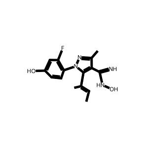 C/C=C(\C)c1c(C(=N)NO)c(C)nn1-c1ccc(O)cc1F